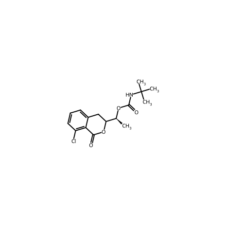 C[C@H](OC(=O)NC(C)(C)C)C1Cc2cccc(Cl)c2C(=O)O1